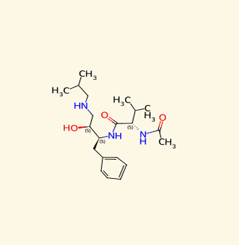 CC(=O)N[C@H](C(=O)N[C@@H](Cc1ccccc1)[C@@H](O)CNCC(C)C)C(C)C